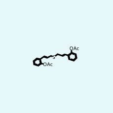 CC(=O)Oc1ccccc1C=CCSCC=Cc1ccccc1OC(C)=O